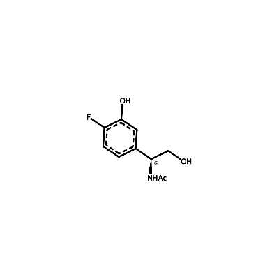 CC(=O)N[C@H](CO)c1ccc(F)c(O)c1